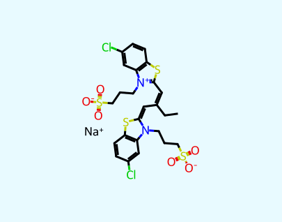 CCC(=Cc1sc2ccc(Cl)cc2[n+]1CCCS(=O)(=O)[O-])C=C1Sc2ccc(Cl)cc2N1CCCS(=O)(=O)[O-].[Na+]